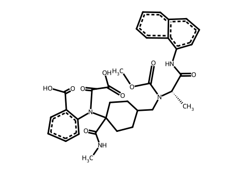 CNC(=O)C1(N(C(=O)C(=O)O)c2ccccc2C(=O)O)CCC(CN(C(=O)OC)[C@@H](C)C(=O)Nc2cccc3ccccc23)CC1